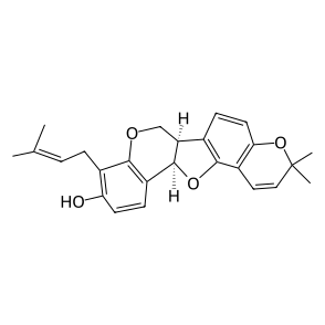 CC(C)=CCc1c(O)ccc2c1OC[C@H]1c3ccc4c(c3O[C@@H]21)C=CC(C)(C)O4